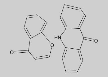 O=c1c2ccccc2[nH]c2ccccc12.O=c1ccoc2ccccc12